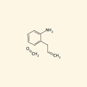 C=CCc1ccccc1N.C=O